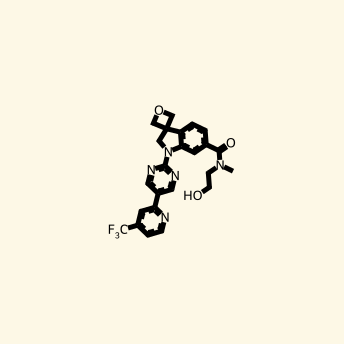 CN(CCO)C(=O)c1ccc2c(c1)N(c1ncc(-c3cc(C(F)(F)F)ccn3)cn1)CC21COC1